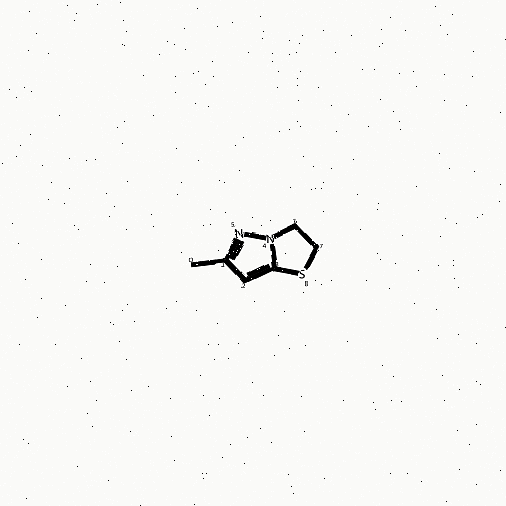 Cc1cc2n(n1)CCS2